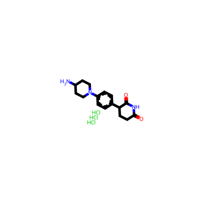 Cl.Cl.Cl.NC1CCN(c2ccc(C3CCC(=O)NC3=O)cc2)CC1